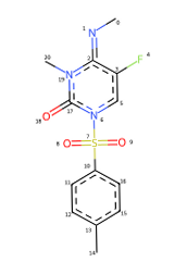 CN=c1c(F)cn(S(=O)(=O)c2ccc(C)cc2)c(=O)n1C